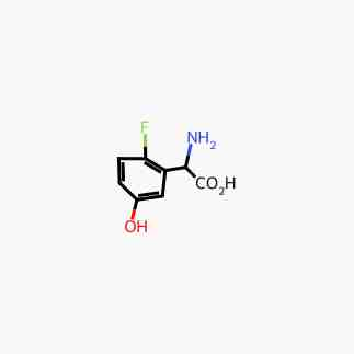 NC(C(=O)O)c1cc(O)ccc1F